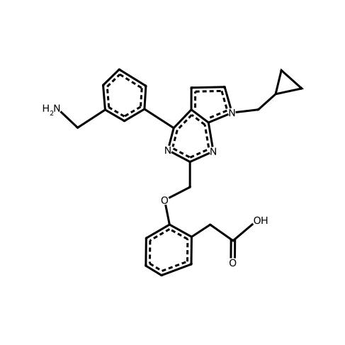 NCc1cccc(-c2nc(COc3ccccc3CC(=O)O)nc3c2ccn3CC2CC2)c1